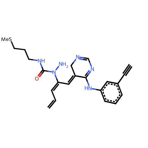 C#Cc1cccc(NC2=NC=NC/C2=C\C(=C/C=C)N(N)C(=O)NCCCSC)c1